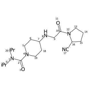 CC(C)N(C(=O)N1CCC(NCC(=O)N2CCCC2C#N)CC1)C(C)C